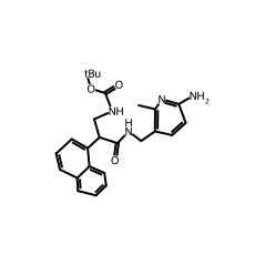 Cc1nc(N)ccc1CNC(=O)C(CNC(=O)OC(C)(C)C)c1cccc2ccccc12